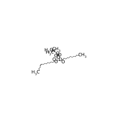 CCCC/C=C\CCCCCCCC(=O)O[C@H](COC(=O)CCCCCCCCCCC)COP(=O)([O-])OCC[N+](C)(C)C